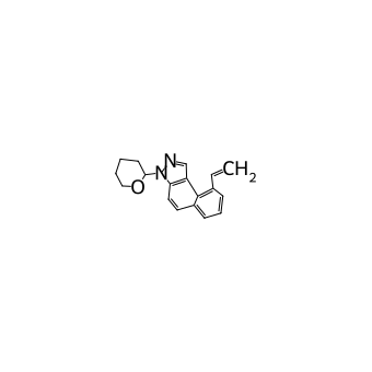 C=Cc1cccc2ccc3c(cnn3C3CCCCO3)c12